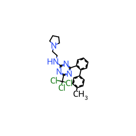 Cc1ccc(-c2ccccc2-c2nc(NCCN3CCCC3)nc(C(Cl)(Cl)Cl)n2)cc1